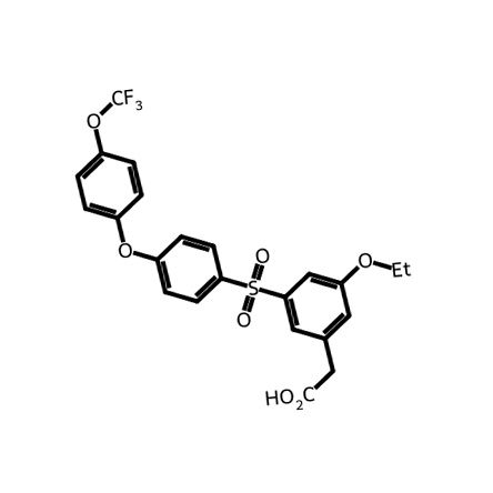 CCOc1cc(CC(=O)O)cc(S(=O)(=O)c2ccc(Oc3ccc(OC(F)(F)F)cc3)cc2)c1